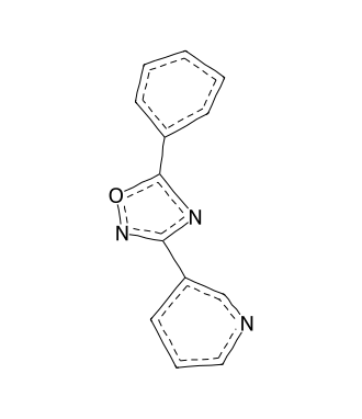 c1ccc(-c2nc(-c3cccnc3)no2)cc1